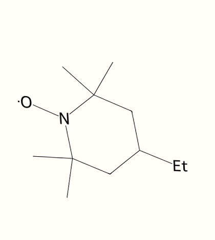 CCC1CC(C)(C)N([O])C(C)(C)C1